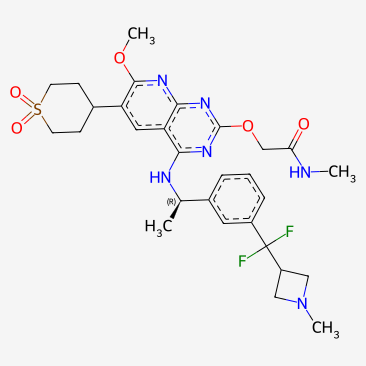 CNC(=O)COc1nc(N[C@H](C)c2cccc(C(F)(F)C3CN(C)C3)c2)c2cc(C3CCS(=O)(=O)CC3)c(OC)nc2n1